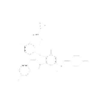 CN1CCN(CC(C)(O)c2cc(F)c3c(c2)C(=O)N(Cc2ccc(Cl)cn2)[C@@]3(OCNC(=O)C2CC2)c2ccc(Cl)cc2)CC1